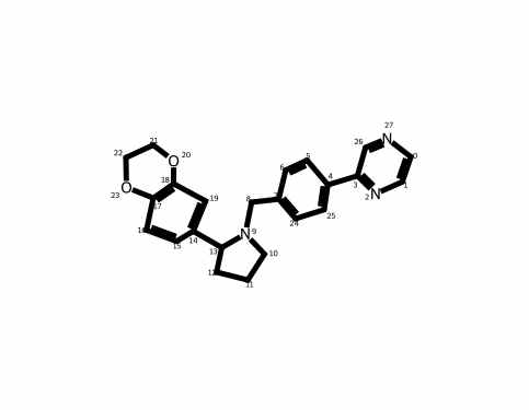 c1cnc(-c2ccc(CN3CCCC3c3ccc4c(c3)OCCO4)cc2)cn1